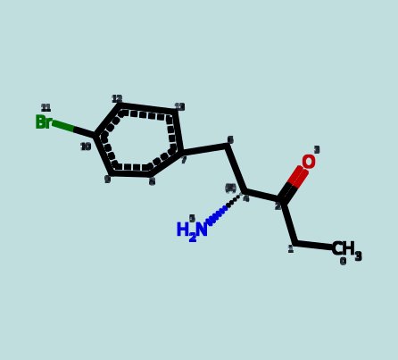 CCC(=O)[C@H](N)Cc1ccc(Br)cc1